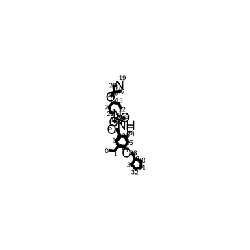 CCc1cc(C(=O)NS(=O)(=O)N2CCC(OC3CN(C)C3)CC2)c(F)cc1OCC1CCCC1